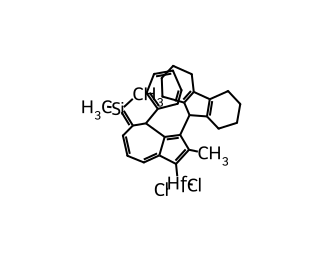 CC1=[C]([Hf]([Cl])[Cl])C2=CC=CC(=[Si](C)C)C(c3ccccc3)C2=C1C1C2=C(CCCC2)C2=C1CCCC2